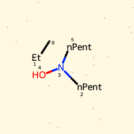 CCC.CCCCCN(O)CCCCC